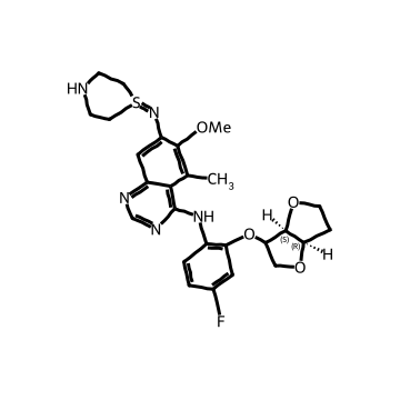 COc1c(N=S2CCNCC2)cc2ncnc(Nc3ccc(F)cc3OC3CO[C@@H]4CCO[C@H]34)c2c1C